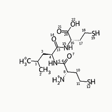 CC(C)C[C@H](NC(=O)[C@@H](N)CCS)C(=O)N[C@@H](CCS)C(=O)O